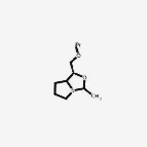 CC(C)OCC1OC(C)N2CCCC12